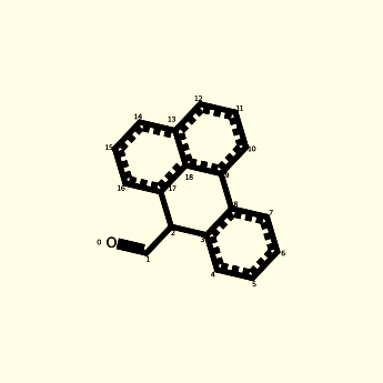 O=CC1c2ccccc2-c2cccc3cccc1c23